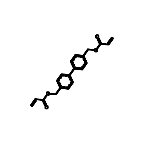 C=CC(=O)OCc1ccc(-c2ccc(COC(=O)C=C)cc2)cc1